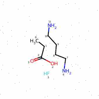 CCC(=O)O.F.NCCCCN